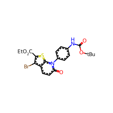 CCOC(=O)c1sc2c(ccc(=O)n2-c2ccc(NC(=O)OC(C)(C)C)cc2)c1Br